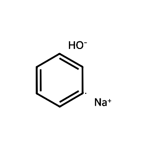 [Na+].[OH-].[c]1ccccc1